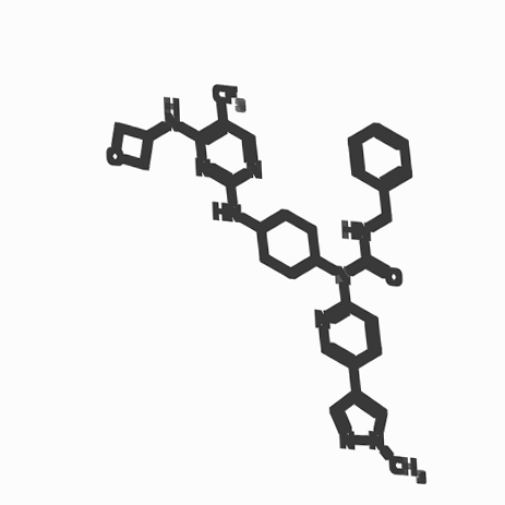 Cn1cc(-c2ccc(N(C(=O)NCc3ccccc3)C3CCC(Nc4ncc(C(F)(F)F)c(NC5COC5)n4)CC3)nc2)cn1